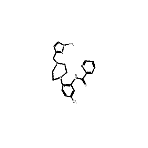 Cn1ccc(CN2CCN(c3ccc(C(F)(F)F)cc3NC(=O)c3ccccn3)CC2)n1